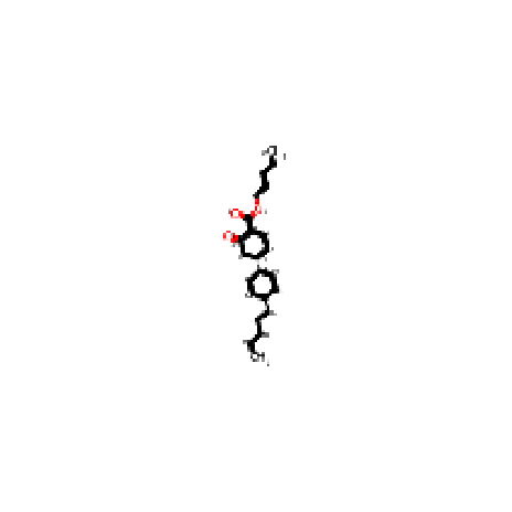 CCCCCOC(=O)C1CCC([C@H]2CC[C@H](CCCCC)CC2)CC1=O